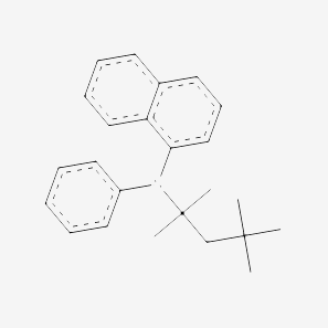 CC(C)(C)CC(C)(C)N(c1ccccc1)c1cccc2ccccc12